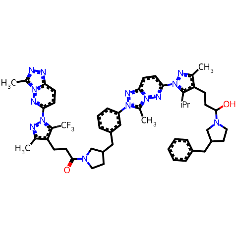 Cc1nn(-c2ccc3n[n+](-c4cccc(CC5CCN(C(=O)CCc6c(C)nn(-c7ccc8nnc(C)n8n7)c6C(F)(F)F)C5)c4)c(C)n3n2)c(C(C)C)c1CCC(O)N1CCC(Cc2ccccc2)C1